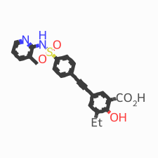 CCc1cc(C#Cc2ccc(S(=O)(=O)Nc3ncccc3C)cc2)cc(C(=O)O)c1O